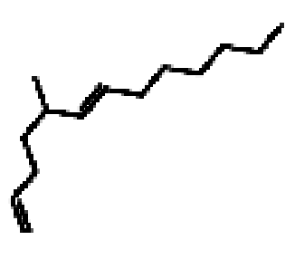 C=CCCC(C)C=CCCCCCC